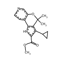 COC(=O)c1[nH]c2c(c1C1CC1)C(C)(C)Oc1cnccc1-2